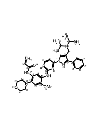 BC(B)N(Cc1cn(-c2ccnc(Nc3cc(NC(=O)C=C)c(N4CCOCC4)cc3OC)n2)nc1-c1ccccc1)C(B)B